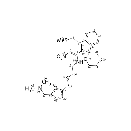 CSCCc1ccccc1C1(NC(=C[N+](=O)[O-])NCCSCc2ccc(CN(C)C)o2)COCCO1